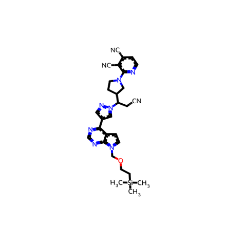 C[Si](C)(C)CCOCn1ccc2c(-c3cnn(C(CC#N)C4CCN(c5nccc(C#N)c5C#N)C4)c3)ncnc21